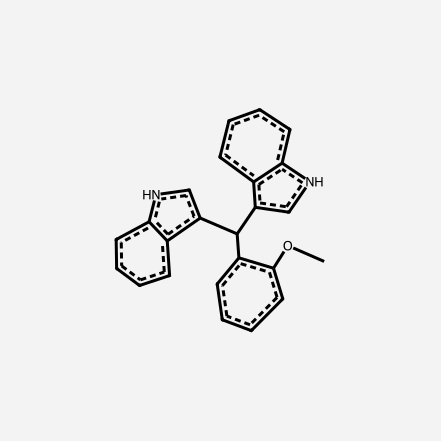 COc1ccccc1C(c1c[nH]c2ccccc12)c1c[nH]c2ccccc12